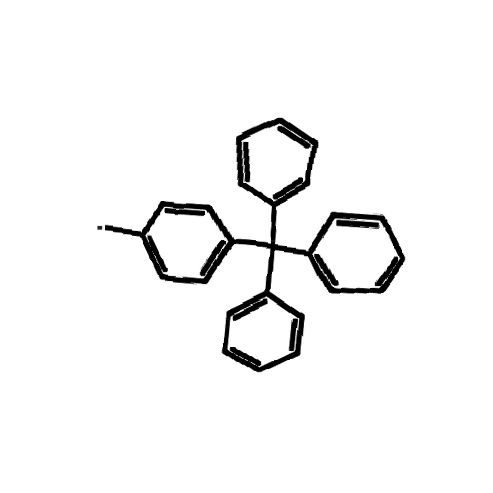 [CH2]c1ccc(C(c2ccccc2)(c2ccccc2)c2ccccc2)cc1